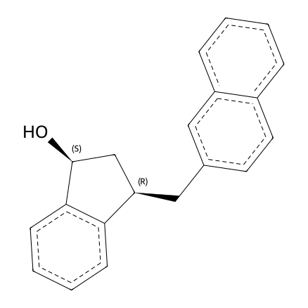 O[C@H]1C[C@@H](Cc2ccc3ccccc3c2)c2ccccc21